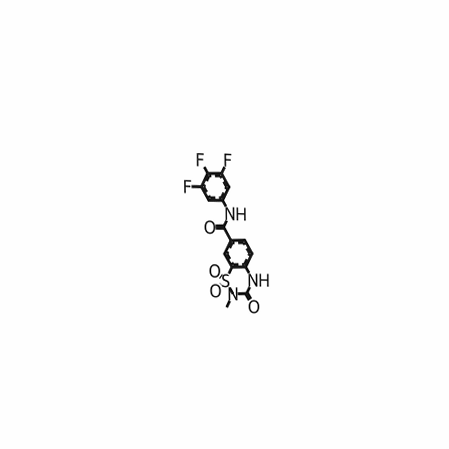 CN1C(=O)Nc2ccc(C(=O)Nc3cc(F)c(F)c(F)c3)cc2S1(=O)=O